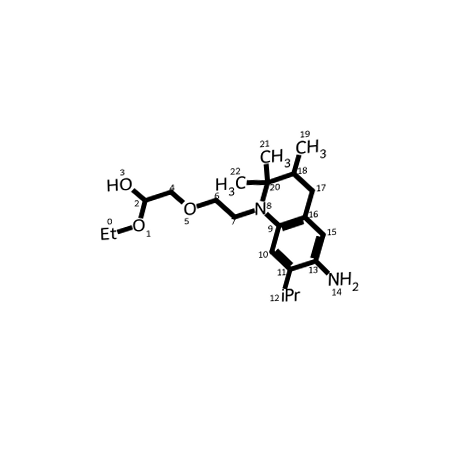 CCOC(O)COCCN1c2cc(C(C)C)c(N)cc2CC(C)C1(C)C